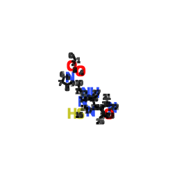 CCOC(=O)N1CCC[C@H]1CCNc1nc(S)nc(-c2c(C)noc2C)c1C